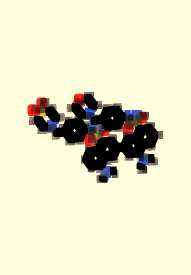 CN(C)c1cccc2c(S(=O)(=O)Nc3ccc(CN4CCS(=O)(=O)CC4)cc3)cc(-c3cc(N(C)C)c4cccc(S(=O)(=O)Nc5ccc(CN6CCOCC6)cc5)c4c3)cc12